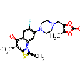 C=c1sc2c(C(=O)O)c(=O)c3cc(F)c(N4CCN(Cc5oc(=O)oc5C)CC4)cc3n12